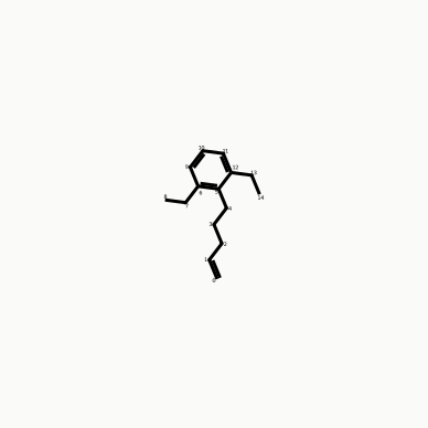 C=CCCCc1c(CC)cccc1CC